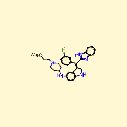 COCCN1CCC(Nc2ccc3c(c2)/C(=C(\c2cccc(F)c2)c2nc4ccccc4[nH]2)CN3)CC1